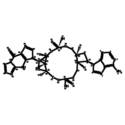 Nc1ncnc2c1ncn2[C@@H]1C[C@@H]2CO[P@@](=O)(S)O[C@@H]3[C@H](F)[C@@H](COP(=O)(O)OC[C@H]21)O[C@H]3n1cnc2c(=O)n3ccnc3[nH]c21